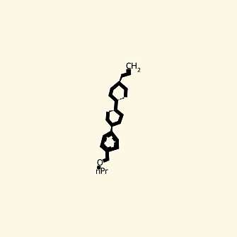 C=CC[C@H]1CC[C@H]([C@H]2CC[C@H](c3ccc(COCCC)cc3)CC2)CC1